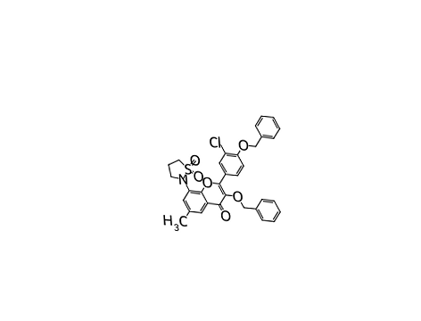 Cc1cc(N2CCCS2(=O)=O)c2oc(-c3ccc(OCc4ccccc4)c(Cl)c3)c(OCc3ccccc3)c(=O)c2c1